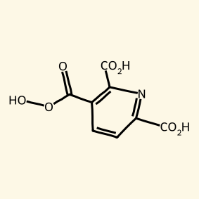 O=C(O)c1ccc(C(=O)OO)c(C(=O)O)n1